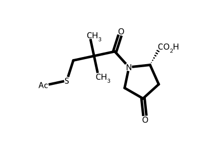 CC(=O)SCC(C)(C)C(=O)N1CC(=O)C[C@H]1C(=O)O